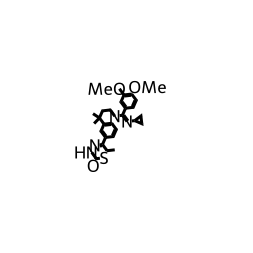 COc1ccc(C(=NC2CC2)N2CCC(C)(C)c3cc(C4=NNC(=O)SC4C)ccc32)cc1OC